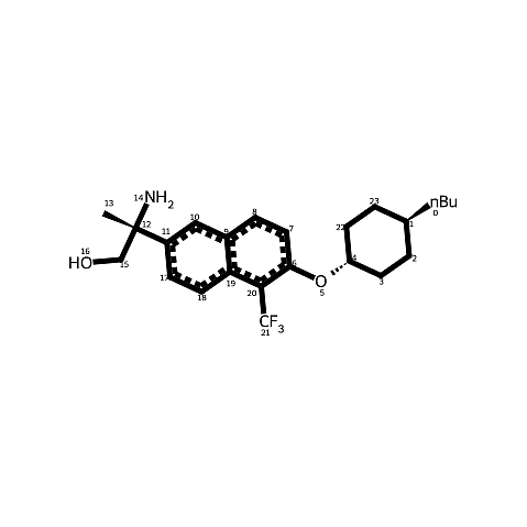 CCCC[C@H]1CC[C@H](Oc2ccc3cc([C@@](C)(N)CO)ccc3c2C(F)(F)F)CC1